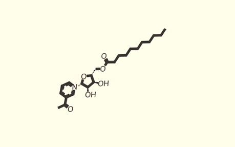 CCCCCCCCCCC(=O)OC[C@H]1O[C@@H]([n+]2cccc(C(C)=O)c2)[C@H](O)[C@@H]1O